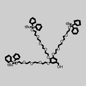 CC(C)(C)[Si](OCCOCCOCCOCCOc1cc(CO)cc(OCCOCCOCCOCCO[Si](c2ccccc2)(c2ccccc2)C(C)(C)C)c1OCCOCCOCCOCCO[Si](c1ccccc1)(c1ccccc1)C(C)(C)C)(c1ccccc1)c1ccccc1